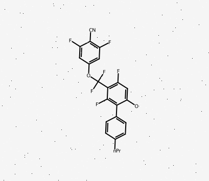 CCCc1ccc(-c2c([O])cc(F)c(C(F)(F)Oc3cc(F)c(C#N)c(F)c3)c2F)cc1